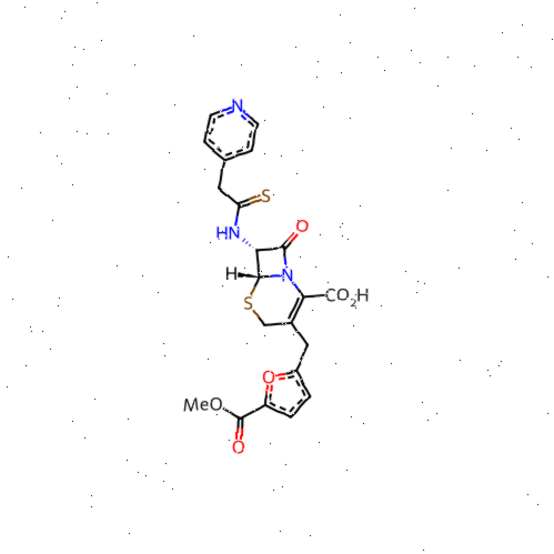 COC(=O)c1ccc(CC2=C(C(=O)O)N3C(=O)[C@@H](NC(=S)Cc4ccncc4)[C@H]3SC2)o1